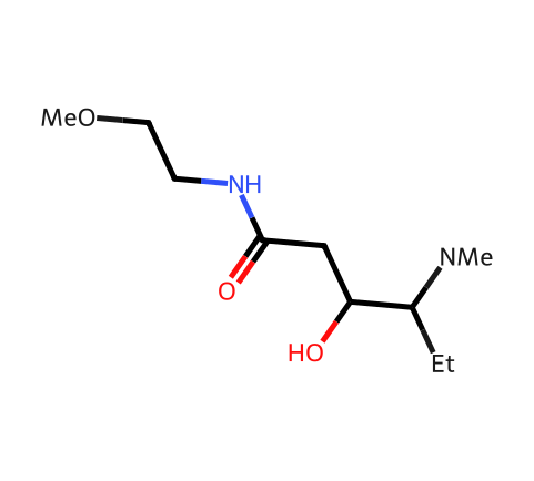 CCC(NC)C(O)CC(=O)NCCOC